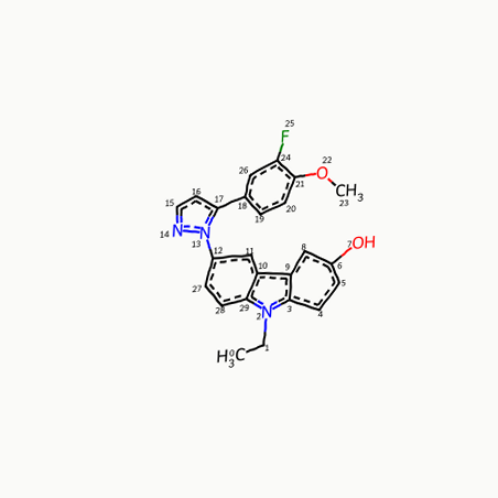 CCn1c2ccc(O)cc2c2cc(-n3nccc3-c3ccc(OC)c(F)c3)ccc21